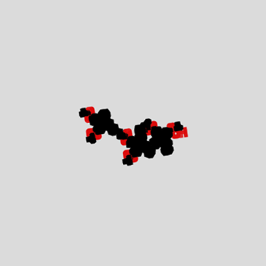 C=C(C)C(=O)Oc1ccc(C2(c3ccc(OC(=O)C(=C)C)cc3)c3ccccc3-c3cc4cc(CC(=C)C(=O)Oc5ccc(C6(c7ccc(OC(=O)C(=C)C)cc7)c7cc8ccccc8cc7-c7cc8cc(CC(=C)C(=O)Oc9ccc(C%10(c%11ccc(OC(O)C(=C)C)cc%11)c%11ccccc%11-c%11c%10ccc%10ccccc%11%10)cc9)ccc8cc76)cc5)ccc4cc32)cc1